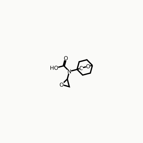 O=C(O)N(C1CO1)C12CCC(CC1)OC2